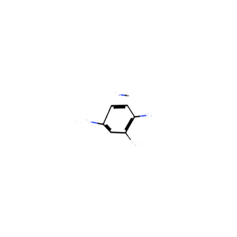 NC(=O)O.Nc1ccc(N)c([N+](=O)[O-])c1